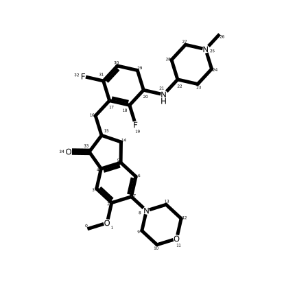 COc1cc2c(cc1N1CCOCC1)CC(CC1=C(F)C(NC3CCN(C)CC3)CC=C1F)C2=O